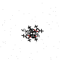 CCOC(=O)COc1c(Cl)ccc(P(=O)(c2cc(C(C)(C)C)cc(C(C)(C)C)c2)c2cc(C(C)(C)C)cc(C(C)(C)C)c2)c1-c1c(P(=O)(c2cc(C(C)(C)C)cc(C(C)(C)C)c2)c2cc(C(C)(C)C)cc(C(C)(C)C)c2)ccc(Cl)c1O